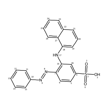 O=S(=O)(O)c1ccc(/N=N/c2ccccc2)c(Nc2cccc3ccccc23)c1